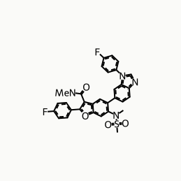 CNC(=O)c1c(-c2ccc(F)cc2)oc2cc(N(C)S(C)(=O)=O)c(-c3ccc4ncn(-c5ccc(F)cc5)c4c3)cc12